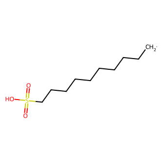 [CH2]CCCCCCCCCS(=O)(=O)O